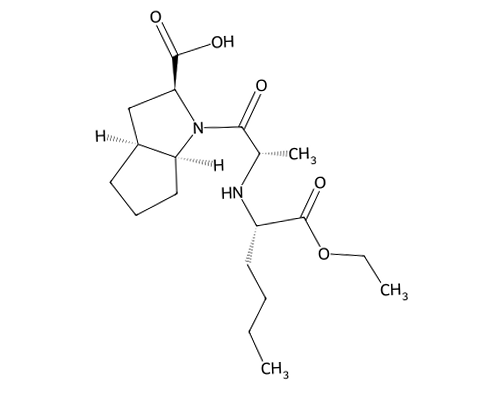 CCCC[C@H](N[C@@H](C)C(=O)N1[C@H](C(=O)O)C[C@@H]2CCC[C@@H]21)C(=O)OCC